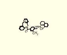 Cc1cc(C(=O)N2Cc3cccn3Cc3ccccc32)ccc1CNC(=O)N1CC[CH]c2cccc(F)c21